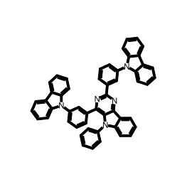 c1ccc(-n2c3ccccc3c3nc(-c4cccc(-n5c6ccccc6c6ccccc65)c4)nc(-c4cccc(-n5c6ccccc6c6ccccc65)c4)c32)cc1